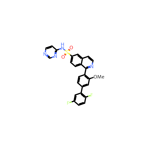 COc1cc(-c2cc(F)ccc2F)ccc1-c1nccc2cc(S(=O)(=O)Nc3ccncn3)ccc12